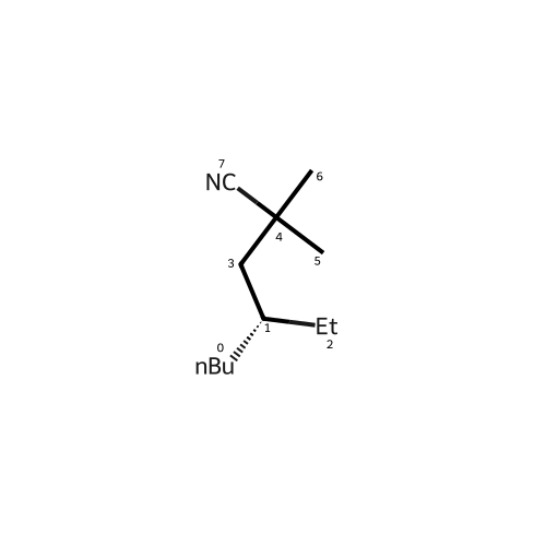 CCCC[C@@H](CC)CC(C)(C)C#N